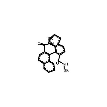 CC(C)(C)NC(=O)c1ccc2ccccc2c1-c1c(C(=O)NC(C)(C)C)ccc2ccccc12